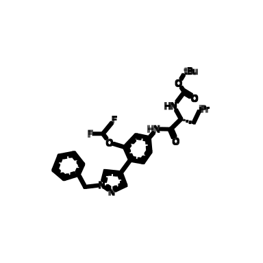 CC(C)C[C@@H](NC(=O)OC(C)(C)C)C(=O)Nc1ccc(-c2cnn(Cc3ccccc3)c2)c(OC(F)F)c1